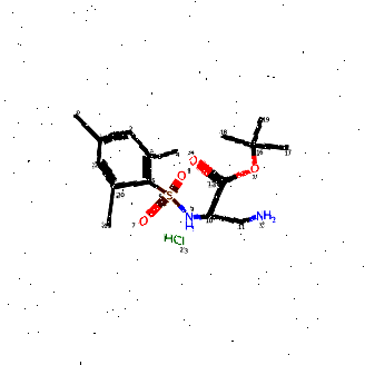 Cc1cc(C)c(S(=O)(=O)NC(CN)C(=O)OC(C)(C)C)c(C)c1.Cl